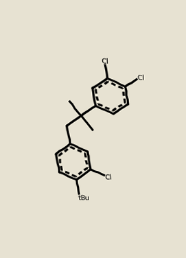 CC(C)(C)c1ccc(CC(C)(C)c2ccc(Cl)c(Cl)c2)cc1Cl